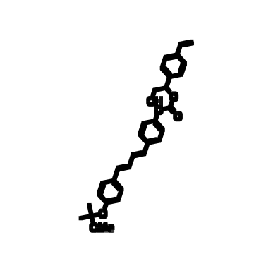 C=Cc1ccc(C(CO)OC(=O)Oc2ccc(C=CC=Cc3ccc(OC(C)(C)OC)cc3)cc2)cc1